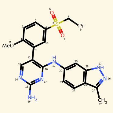 COc1ccc(S(=O)(=O)CC(C)C)cc1-c1cnc(N)nc1Nc1ccc2c(C)n[nH]c2c1